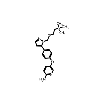 C[Si](C)(C)CCOCn1nccc1-c1ccc(Oc2ccc(N)nc2)cc1